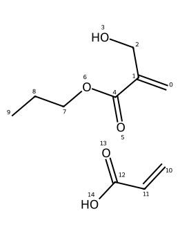 C=C(CO)C(=O)OCCC.C=CC(=O)O